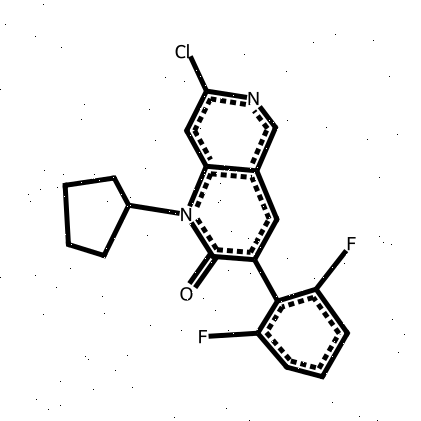 O=c1c(-c2c(F)cccc2F)cc2cnc(Cl)cc2n1C1CCCC1